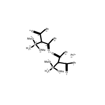 CO[Si](C)(OC)C(C(=O)C(C)C)C(=O)C(C)C.CO[Si](C)(OC)C(C(=O)C(C)C)C(=O)C(C)C.[Pt+2]